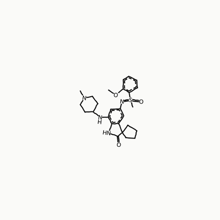 COc1ccccc1S(C)(=O)=Nc1cc(NC2CCN(C)CC2)c2c(c1)C1(CCCC1)C(=O)N2